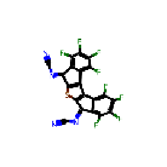 N#C/N=c1\c2sc3/c(=N/C#N)c4c(F)c(F)c(F)c(F)c4c3c2c2c(F)c(F)c(F)c(F)c12